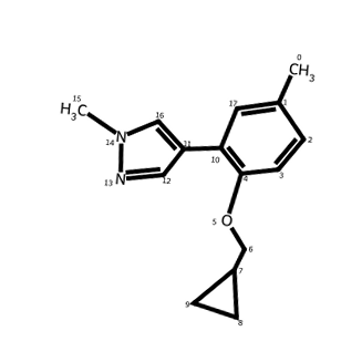 Cc1ccc(OCC2CC2)c(-c2cnn(C)c2)c1